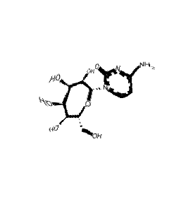 Nc1ccn([C@@H]2O[C@H](CO)[C@@H](O)[C@@H](O)[C@@H](O)[C@H]2O)c(=O)n1